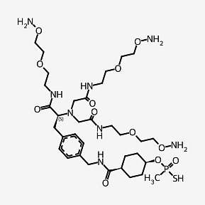 CP(=O)(S)O[C@H]1CC[C@@H](C(=O)NCc2ccc(C[C@@H](C(=O)NCCOCCON)N(CC(=O)NCCOCCON)CC(=O)NCCOCCON)cc2)CC1